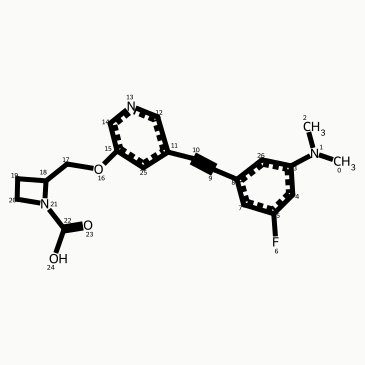 CN(C)c1cc(F)cc(C#Cc2cncc(OCC3CCN3C(=O)O)c2)c1